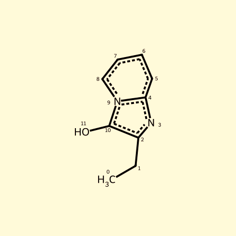 CCc1nc2ccccn2c1O